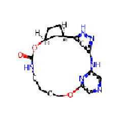 O=C1NCCCCOc2cncc(n2)Nc2cc([nH]n2)[C@@H]2CC[C@@H](C2)O1